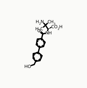 CC(C)(N)[C@H](NC(=O)c1ccc(-c2ccc(CO)cc2)cc1)C(=O)O